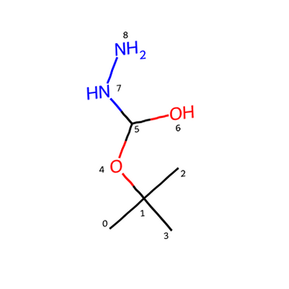 CC(C)(C)OC(O)NN